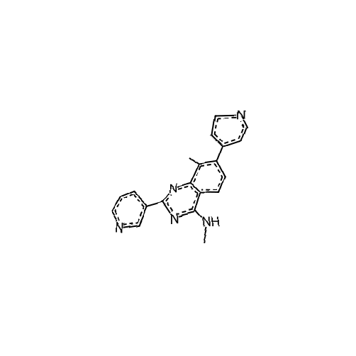 CNc1nc(-c2cccnc2)nc2c(C)c(-c3ccncc3)ccc12